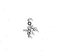 COc1ccc(S(=O)(=O)N(CC(C)C)C(Cc2cn(C)cn2)C(=O)NO)cc1.Cl